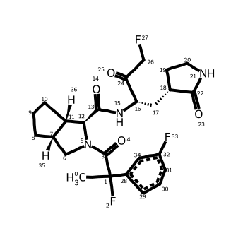 CC(F)(C(=O)N1C[C@@H]2CCC[C@@H]2[C@H]1C(=O)N[C@@H](C[C@@H]1CCNC1=O)C(=O)CF)c1cccc(F)c1